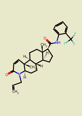 C=CCN1C(=O)C=C[C@]2(C)[C@H]3CC[C@]4(C)[C@@H](C(=O)Nc5ccccc5C(F)(F)F)CC[C@H]4[C@@H]3CC[C@@H]12